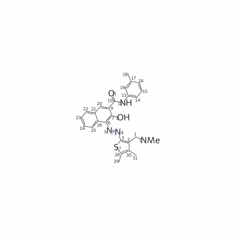 CNCc1c(/N=N/c2c(O)c(C(=O)Nc3cccc(C)c3)cc3ccccc23)sc(C)c1C